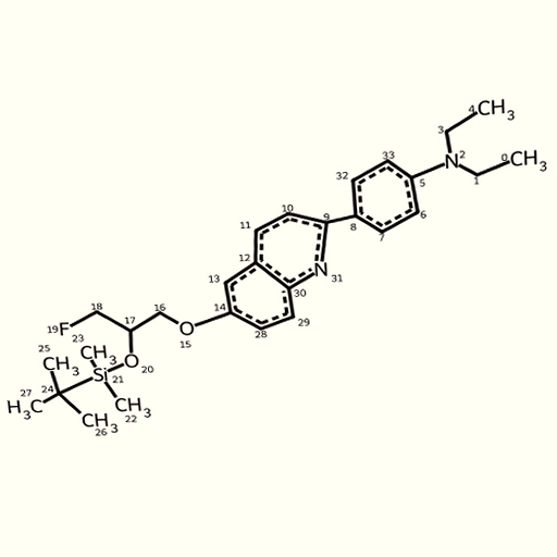 CCN(CC)c1ccc(-c2ccc3cc(OCC(CF)O[Si](C)(C)C(C)(C)C)ccc3n2)cc1